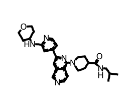 CC(C)CNC(=O)C1CCN(c2nc(-c3ccnc(NC4CCOCC4)c3)cc3cnccc23)CC1